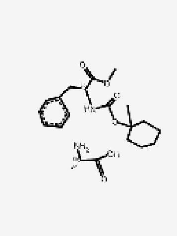 COC(=O)[C@H](Cc1ccccc1)NC(=O)OC1(C)CCCCC1.C[C@H](N)C(=O)O